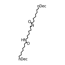 CCCCCCCCCCCCCCCCCC(=O)N=CCCCCCNC(=O)CCCCCCCCCCCCCCCCC